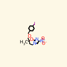 CC1(COCc2ccc(I)cc2)CCn2cc([N+](=O)[O-])nc2O1